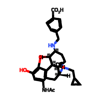 CC(=O)Nc1cc(O)c2c3c1C[C@@H]1[C@@H]4CC[C@@H](NCc5ccc(C(=O)O)cc5)[C@H](O2)[C@]34CCN1CC1CC1